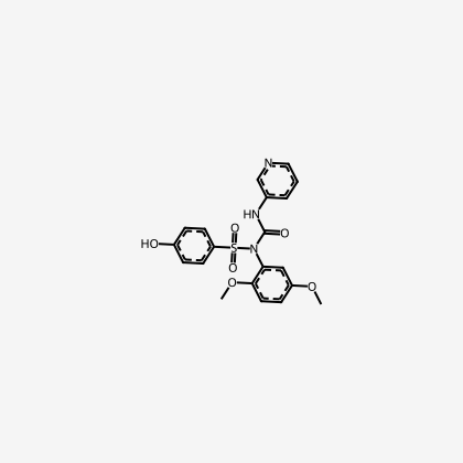 COc1ccc(OC)c(N(C(=O)Nc2cccnc2)S(=O)(=O)c2ccc(O)cc2)c1